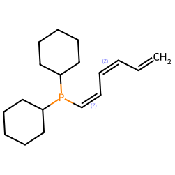 C=C/C=C\C=C/P(C1CCCCC1)C1CCCCC1